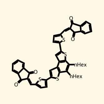 CCCCCCc1c(CCCCCC)c2sc(-c3ccc(C=C4C(=O)c5ccccc5C4=O)s3)cc2c2cc(-c3ccc(C=C4C(=O)c5ccccc5C4=O)s3)sc12